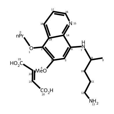 CCCOc1c(OC)cc(NC(C)CCCN)c2ncccc12.O=C(O)/C=C/C(=O)O